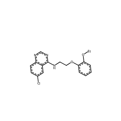 CCOc1ccccc1OCCNc1ncnc2ccc(Cl)cc12